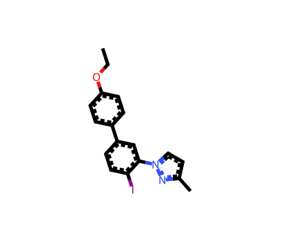 CCOc1ccc(-c2ccc(I)c(-n3ccc(C)n3)c2)cc1